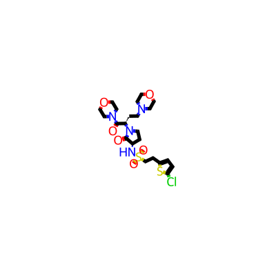 O=C([C@H](CCN1CCOCC1)N1CC[C@H](NS(=O)(=O)CCc2ccc(Cl)s2)C1=O)N1CCOCC1